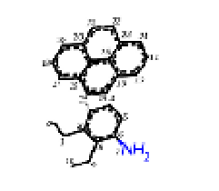 CCc1cccc(N)c1CC.c1cc2ccc3cccc4ccc(c1)c2c34